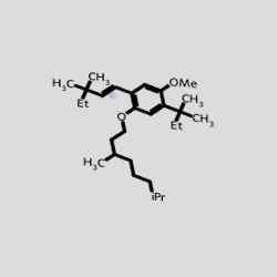 CCC(C)(C)/C=C/c1cc(OC)c(C(C)(C)CC)cc1OCCC(C)CCCC(C)C